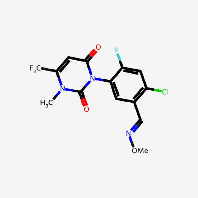 CON=Cc1cc(-n2c(=O)cc(C(F)(F)F)n(C)c2=O)c(F)cc1Cl